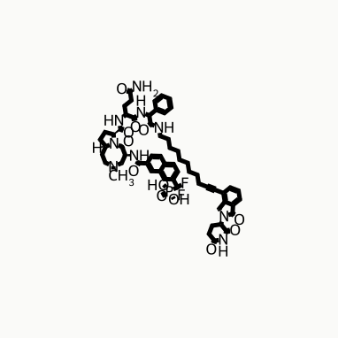 CN1CC[C@H]2CC[C@@H](C(=O)NC(CCC(N)=O)C(=O)NC(C(=O)NCCCCCCCCCC#Cc3cccc4c3CN(C3CCC(=O)NC3=O)C4=O)c3ccccc3)N2C(=O)[C@@H](NC(=O)c2ccc3ccc(C(F)(F)P(=O)(O)O)cc3c2)C1